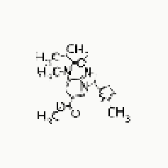 COC(=O)c1cc(N(C)C(=O)C(C)C)c2ncc(-c3ccc(C)s3)n2c1